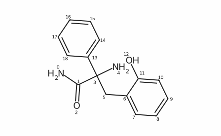 NC(=O)C(N)(Cc1ccccc1O)c1ccccc1